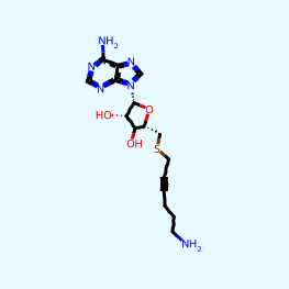 NCCCC#CCSC[C@H]1O[C@@H](n2cnc3c(N)ncnc32)[C@@H](O)C1O